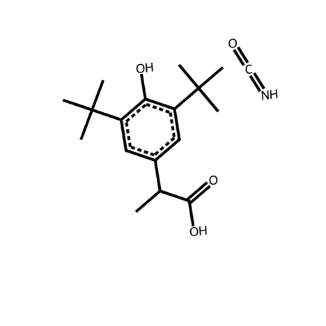 CC(C(=O)O)c1cc(C(C)(C)C)c(O)c(C(C)(C)C)c1.N=C=O